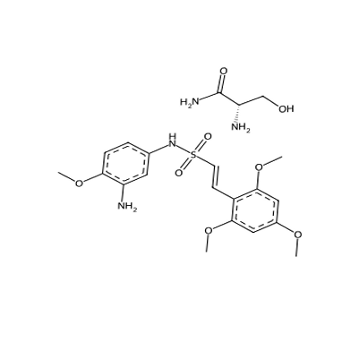 COc1cc(OC)c(C=CS(=O)(=O)Nc2ccc(OC)c(N)c2)c(OC)c1.NC(=O)[C@@H](N)CO